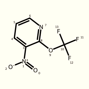 O=[N+]([O-])c1cccnc1OC(F)(F)F